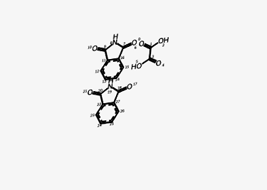 O=C(O)C(=O)O.O=C1NC(=O)c2ccccc21.O=C1NC(=O)c2ccccc21